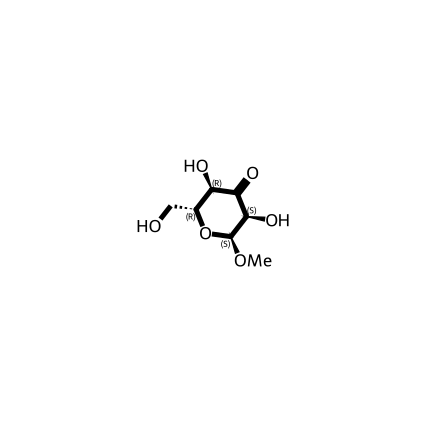 CO[C@H]1O[C@H](CO)[C@@H](O)C(=O)[C@H]1O